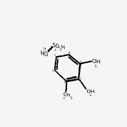 Cc1cccc(O)c1O.O=S(=O)(O)O